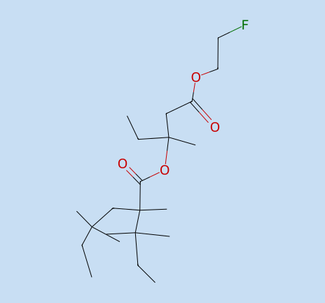 CCC(C)(C)CC(C)(C(=O)OC(C)(CC)CC(=O)OCCF)C(C)(C)CC